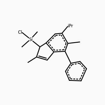 CC1=Cc2c(cc(C(C)C)c(C)c2-c2ccccc2)C1[Si](C)(C)Cl